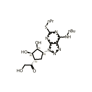 CCCCNc1nc(SCCC)nc2c1nnn2[C@@H]1C[C@H](C(=O)CO)[C@@H](O)[C@H]1O